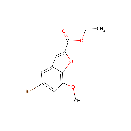 CCOC(=O)c1cc2cc(Br)cc(OC)c2o1